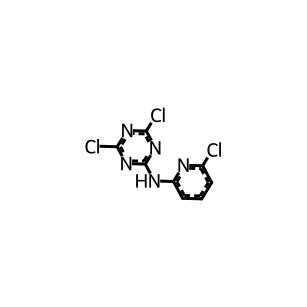 Clc1cccc(Nc2nc(Cl)nc(Cl)n2)n1